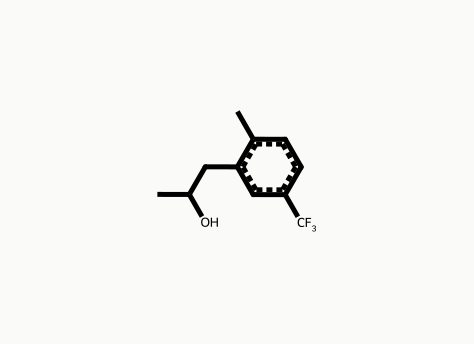 Cc1ccc(C(F)(F)F)cc1CC(C)O